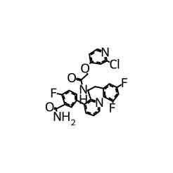 NC(=O)c1cc(-c2cccnc2C(Cc2cc(F)cc(F)c2)NC(=O)COc2ccnc(Cl)c2)ccc1F